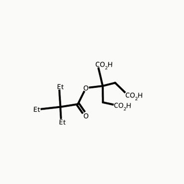 CCC(CC)(CC)C(=O)OC(CC(=O)O)(CC(=O)O)C(=O)O